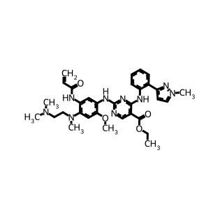 C=CC(=O)Nc1cc(Nc2ncc(C(=O)OCC)c(Nc3ccccc3-c3ccn(C)n3)n2)c(OC)cc1N(C)CCN(C)C